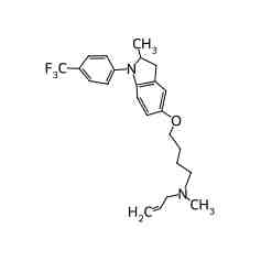 C=CCN(C)CCCCOc1ccc2c(c1)CC(C)N2c1ccc(C(F)(F)F)cc1